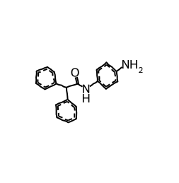 Nc1ccc(NC(=O)C(c2ccccc2)c2ccccc2)cc1